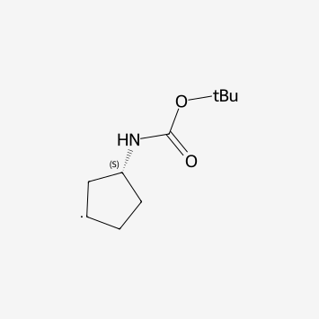 CC(C)(C)OC(=O)N[C@H]1C[CH]CC1